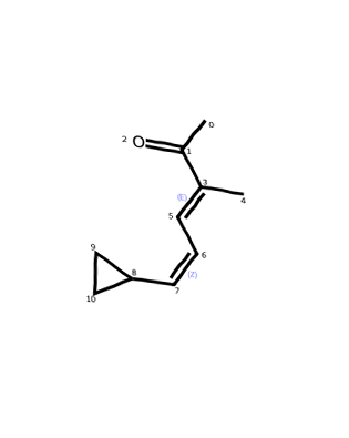 CC(=O)/C(C)=C/C=C\C1CC1